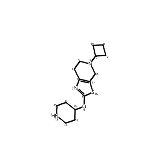 C1CC(N2CCc3nc(OC4CCNCC4)sc3C2)C1